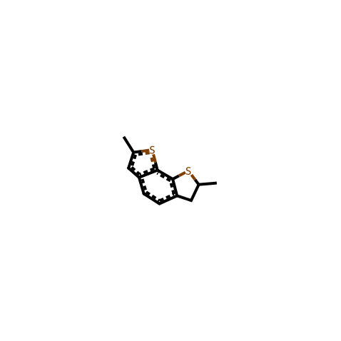 Cc1cc2ccc3c(c2s1)SC(C)C3